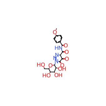 COc1ccc(C(=O)NC(=O)C2N=NN(C3OC(CO)C(O)C(O)C3O)C(=O)C2=O)cc1